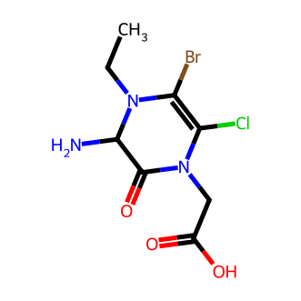 CCN1C(Br)=C(Cl)N(CC(=O)O)C(=O)C1N